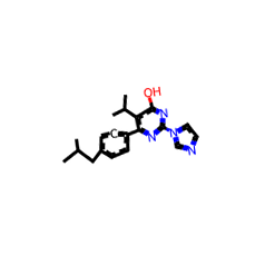 CC(C)Cc1ccc(-c2nc(-n3ccnc3)nc(O)c2C(C)C)cc1